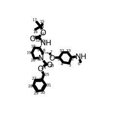 CNC1CCC(OC[C@H]2[C@@H](NC(=O)OC(C)(C)C)CCCN2C(=O)OCc2ccccc2)CC1